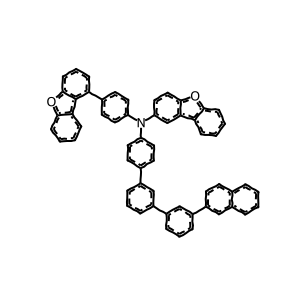 c1cc(-c2ccc(N(c3ccc(-c4cccc5oc6ccccc6c45)cc3)c3ccc4oc5ccccc5c4c3)cc2)cc(-c2cccc(-c3ccc4ccccc4c3)c2)c1